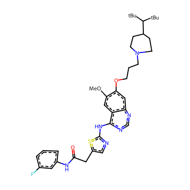 COc1cc2c(Nc3ncc(CC(=O)Nc4cccc(F)c4)s3)ncnc2cc1OCCCN1CCC(C(C(C)(C)C)C(C)(C)C)CC1